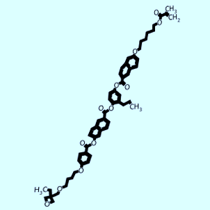 C=C(C)C(=O)OCCCCCCOc1ccc2cc(C(=O)Oc3ccc(OC(=O)c4ccc5cc(OC(=O)c6ccc(OCCCCOCC7(CC)COC7)cc6)ccc5c4)c(CCC)c3)ccc2c1